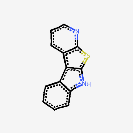 c1ccc2c(c1)[nH]c1sc3ncccc3c12